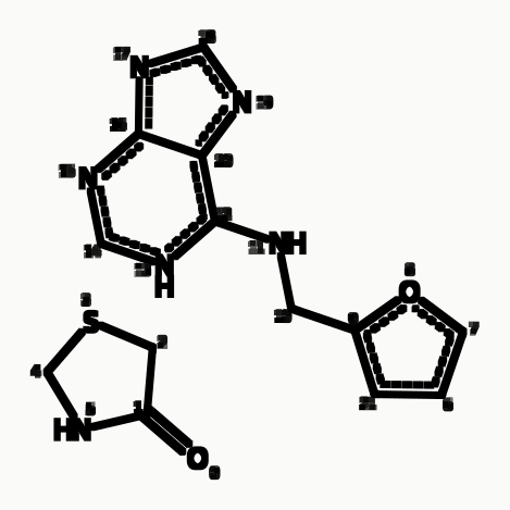 O=C1CSCN1.c1coc(CNc2[nH]cnc3ncnc2-3)c1